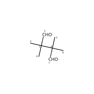 CC(C)([C]=O)C(C)(C)[C]=O